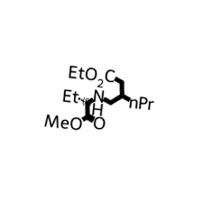 CCCC(CN[C@@H](CC)C(=O)OC)CC(=O)OCC